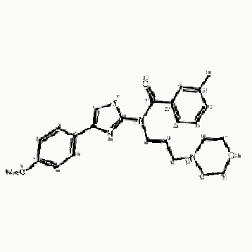 COc1ccc(-c2csc(N(CCCN3CCOCC3)C(=O)c3cccc(C)c3)n2)cc1